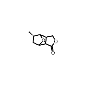 C[C@@H]1CC2OC1C1COC(=O)C21